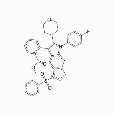 COC(=O)c1ccccc1-c1c(C2CCOCC2)n(-c2ccc(F)cc2)c2cc3ccn(S(=O)(=O)c4ccccc4)c3cc12